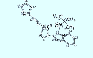 CC(C)(C)Nc1c(-c2ccc(C#Cc3nccs3)s2)nc2ccccn12